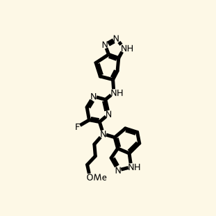 COCCCN(c1nc(Nc2ccc3nn[nH]c3c2)ncc1F)c1cccc2[nH]ncc12